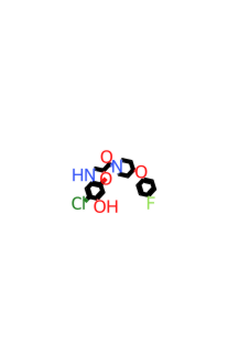 O=C(C1CNc2cc(Cl)c(O)cc2O1)N1CCC(Oc2ccc(F)cc2)CC1